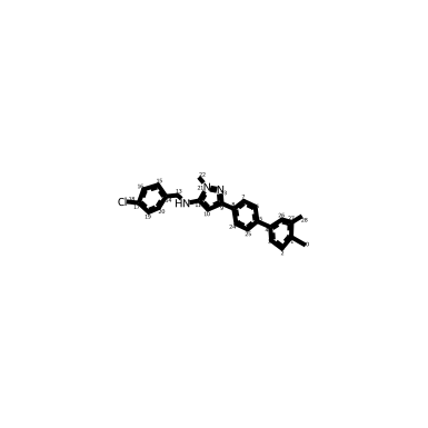 Cc1ccc(-c2ccc(-c3cc(NCc4ccc(Cl)cc4)n(C)n3)cc2)cc1C